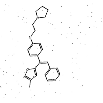 Cc1cc(/C(=C\c2ccccc2)c2ccc(OCCN3CCCC3)cc2)on1